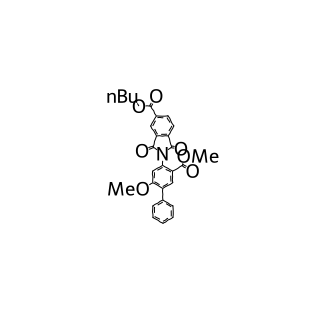 CCCCOC(=O)c1ccc2c(c1)C(=O)N(c1cc(OC)c(-c3ccccc3)cc1C(=O)OC)C2=O